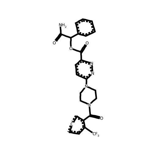 NC(=O)C(OC(=O)c1ccc(N2CCN(C(=O)c3ccccc3C(F)(F)F)CC2)nn1)c1ccccc1